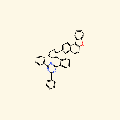 c1ccc(-c2nc(-c3ccccc3)nc(-c3ccccc3-c3ccccc3-c3ccc4c(ccc5oc6ccccc6c54)c3)n2)cc1